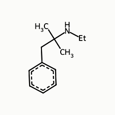 CCNC(C)(C)Cc1ccccc1